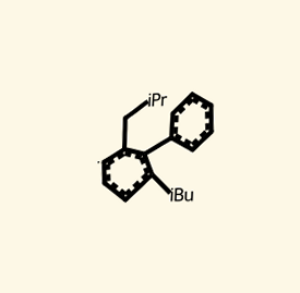 CCC(C)c1cc[c]c(CC(C)C)c1-c1ccccc1